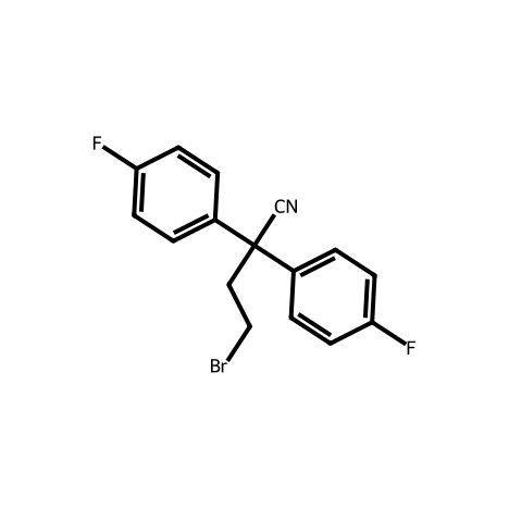 N#CC(CCBr)(c1ccc(F)cc1)c1ccc(F)cc1